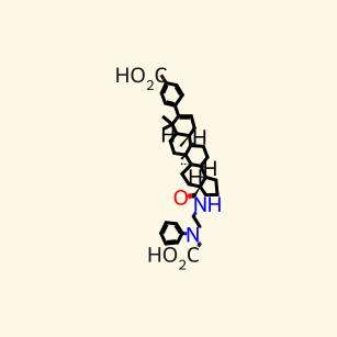 CC1(C)C(c2ccc(C(=O)O)cc2)=CC[C@]2(C)[C@H]3CC[C@@H]4[C@H]5CCC[C@]5(C(=O)NCCN(CC(=O)O)c5ccccc5)CC[C@@]4(C)[C@]3(C)CC[C@@H]12